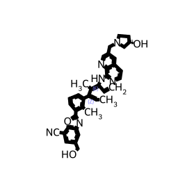 C=C/C(Nc1nccc2cc(CN3CC[C@@H](O)C3)cnc12)=C(C)\C(=C/C)c1cccc(-c2nc3cc(CO)cc(C#N)c3o2)c1C